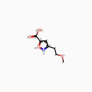 COCCc1cc(C(=O)O)on1